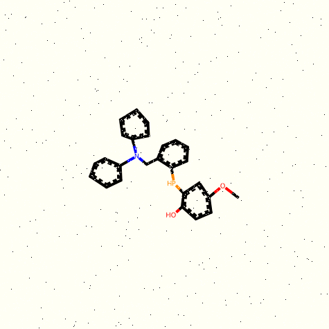 COc1ccc(O)c(Pc2ccccc2CN(c2ccccc2)c2ccccc2)c1